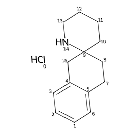 Cl.c1ccc2c(c1)CCC1(CCCCN1)C2